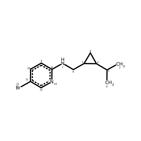 CC(C)C1CC1CNc1ccc(Br)cn1